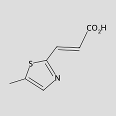 Cc1cnc(C=CC(=O)O)s1